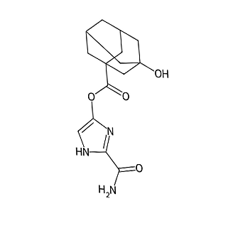 NC(=O)c1nc(OC(=O)C23CC4CC(CC(O)(C4)C2)C3)c[nH]1